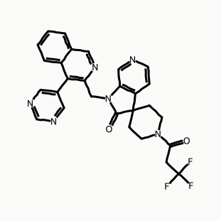 O=C(CC(F)(F)F)N1CCC2(CC1)C(=O)N(Cc1ncc3ccccc3c1-c1cncnc1)c1cnccc12